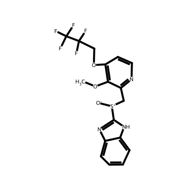 COc1c(OCC(F)(F)C(F)(F)F)ccnc1C[S+]([O-])c1nc2ccccc2[nH]1